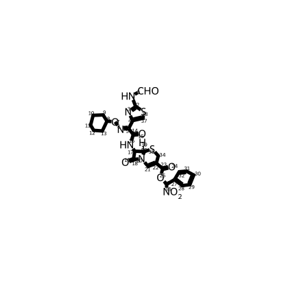 O=CNc1nc(C(=NOC2CCCCC2)C(=O)NC2C(=O)N3C=C(C(=O)OC(c4ccccc4)[N+](=O)[O-])CS[C@H]23)cs1